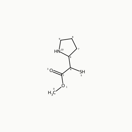 COC(=O)C(S)C1CCCN1